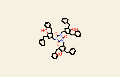 O=c1n(Cc2cc(Cc3ccccc3)c(O)c(Cc3ccccc3)c2)c(=O)n(Cc2cc(Cc3ccccc3)c(O)c(Cc3ccccc3)c2)c(=O)n1Cc1cc(Cc2ccccc2)c(O)c(Cc2ccccc2)c1